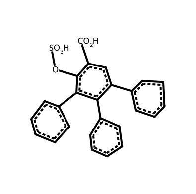 O=C(O)c1cc(-c2ccccc2)c(-c2ccccc2)c(-c2ccccc2)c1OS(=O)(=O)O